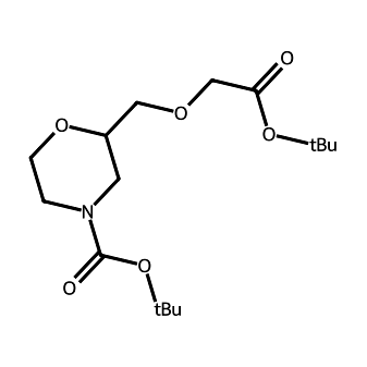 CC(C)(C)OC(=O)COCC1CN(C(=O)OC(C)(C)C)CCO1